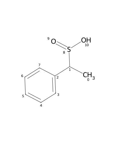 CC(c1ccccc1)S(=O)O